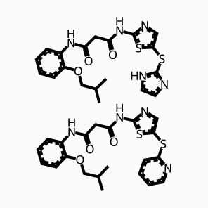 CC(C)COc1ccccc1NC(=O)CC(=O)Nc1ncc(Sc2ccccn2)s1.CC(C)COc1ccccc1NC(=O)CC(=O)Nc1ncc(Sc2ncc[nH]2)s1